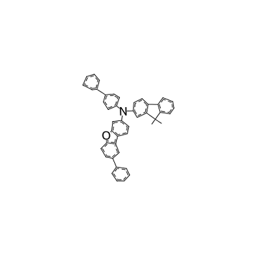 CC1(C)c2ccccc2-c2ccc(N(c3ccc(-c4ccccc4)cc3)c3ccc4c(c3)oc3ccc(-c5ccccc5)cc34)cc21